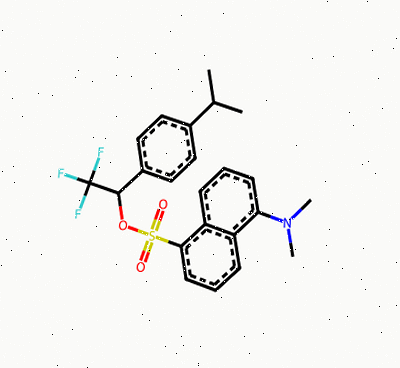 CC(C)c1ccc(C(OS(=O)(=O)c2cccc3c(N(C)C)cccc23)C(F)(F)F)cc1